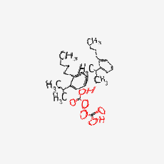 CCCCc1ccccc1C(C)C.CCCCc1ccccc1C(C)C.O=C(O)OOC(=O)O